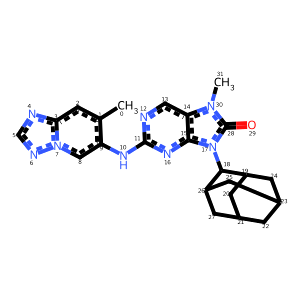 Cc1cc2ncnn2cc1Nc1ncc2c(n1)n(C1C3CC4CC(C3)CC1C4)c(=O)n2C